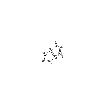 c1cc2ncsc2s1